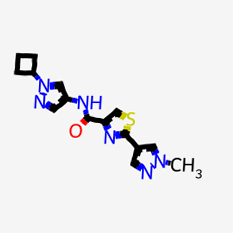 Cn1cc(-c2nc(C(=O)Nc3cnn(C4CCC4)c3)cs2)cn1